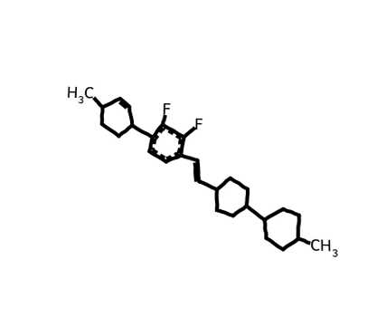 CC1C=CC(c2ccc(/C=C/C3CCC(C4CCC(C)CC4)CC3)c(F)c2F)CC1